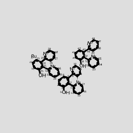 Oc1cccc(-c2ccccn2)c1-c1ccccn1.Oc1cccc(-c2ccccn2)c1-c1ccccn1.Oc1cccc(-c2ccccn2)c1-c1ccccn1.[Ru]